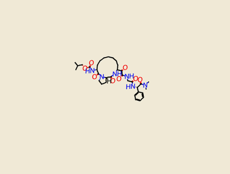 CC(C)COC(=O)N[C@H]1CCCCCCCC(C(=O)C(=O)NCC(=O)N[C@H](C(=O)N(C)C)c2ccccc2)NC(=O)[C@@H]2CCCN2C1=O